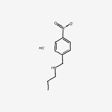 CCCNCc1ccc([N+](=O)[O-])cc1.Cl